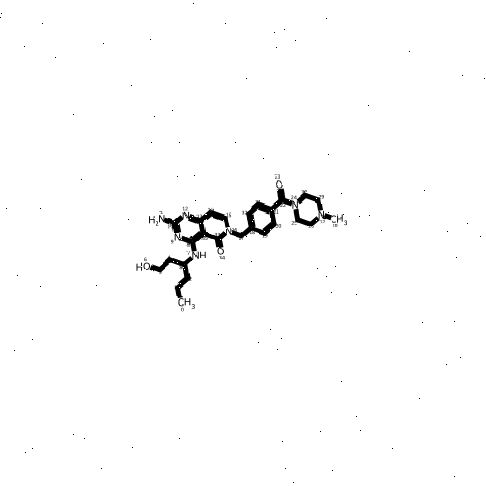 CCCC(CCO)Nc1nc(N)nc2ccn(Cc3ccc(C(=O)N4CCN(C)CC4)cc3)c(=O)c12